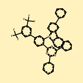 FC(F)(F)c1cc(-c2ccc(-c3nc(-c4ccccc4)nc(-c4ccccc4)n3)c(-n3c4ccccc4c4cc(-c5ccccc5)ccc43)c2)cc(C(F)(F)F)c1